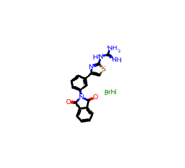 Br.N=C(N)Nc1nc(-c2cccc(N3C(=O)c4ccccc4C3=O)c2)cs1